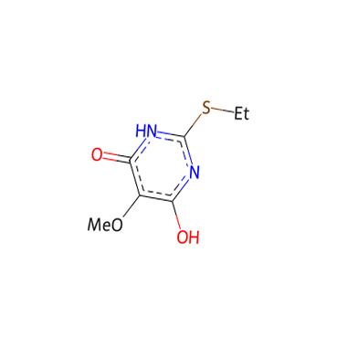 CCSc1nc(O)c(OC)c(=O)[nH]1